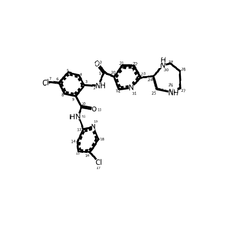 O=C(Nc1ccc(Cl)cc1C(=O)Nc1ccc(Cl)cn1)c1ccc(C2CNCCCN2)nc1